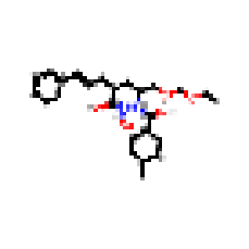 CCOCOCC(CC(C/C=C/c1ccccc1)C(=O)NO)NC(=O)C1CCC(C)CC1